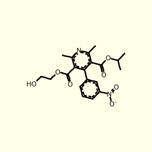 Cc1nc(C)c(C(=O)OC(C)C)c(-c2cccc([N+](=O)[O-])c2)c1C(=O)OCCO